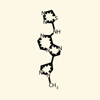 Cn1cc(-c2cnc3c(Nc4nncs4)nccn23)cn1